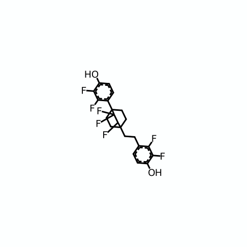 Oc1ccc(CCC23CCC(c4ccc(O)c(F)c4F)(CC2)C(F)(F)C3F)c(F)c1F